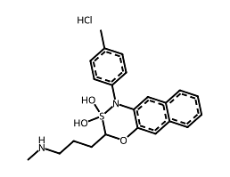 CNCCCC1Oc2cc3ccccc3cc2N(c2ccc(C)cc2)S1(O)O.Cl